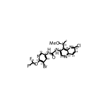 CO[C@@H](C)c1c(NC(=O)Nc2cnc(OC(F)F)c(Br)c2)cnc2ccc(Cl)nc12